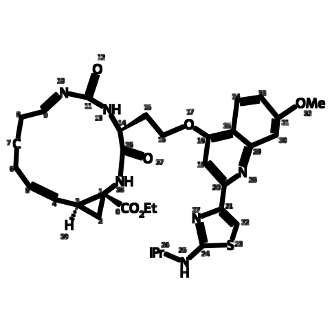 CCOC(=O)[C@@]12C[C@H]1/C=C\CCC/C=N/C(=O)N[C@@H](CCOc1cc(-c3csc(NC(C)C)n3)nc3cc(OC)ccc13)C(=O)N2